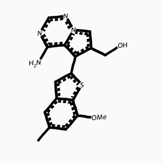 COc1cc(C)cc2cc(-c3c(CO)cn4ncnc(N)c34)sc12